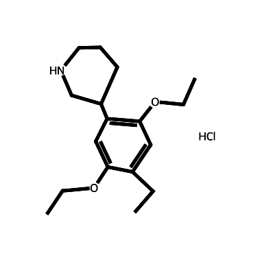 CCOc1cc(C2CCCNC2)c(OCC)cc1CC.Cl